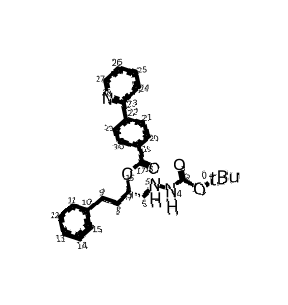 CC(C)(C)OC(=O)NNC[C@H](CCc1ccccc1)OC(=O)c1ccc(-c2ccccn2)cc1